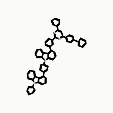 c1ccc(-c2ccc(-c3cc(-c4ccccc4)nc(-c4cccc(-c5cccc6c5c5ccccc5n6-c5ccc(-c6cccc7c6c6ccccc6n7-c6ccccc6)cc5)c4)n3)cc2)cc1